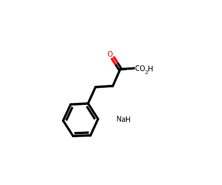 O=C(O)C(=O)CCc1ccccc1.[NaH]